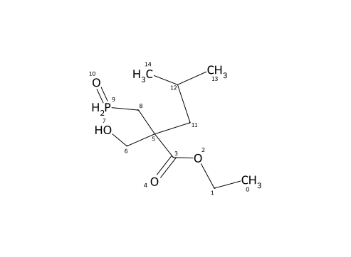 CCOC(=O)C(CO)(C[PH2]=O)CC(C)C